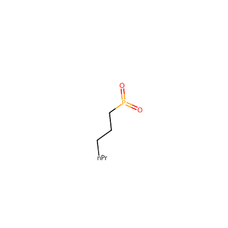 CCCCCCP(=O)=O